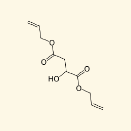 C=CCOC(=O)CC(O)C(=O)OCC=C